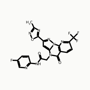 Cc1noc(-c2cc3n(CC(=O)Nc4ccc(F)cn4)c(=O)c4ccc(C(F)(F)F)nc4n3n2)n1